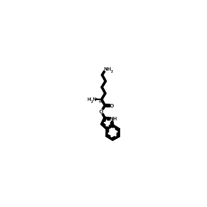 NCCCC[C@H](N)C(=O)Oc1cc2ccccc2[nH]1